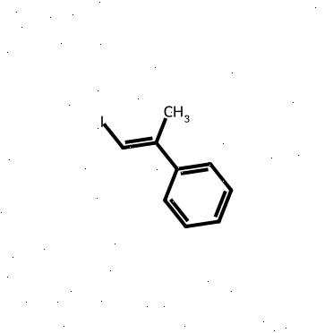 CC(=CI)c1ccccc1